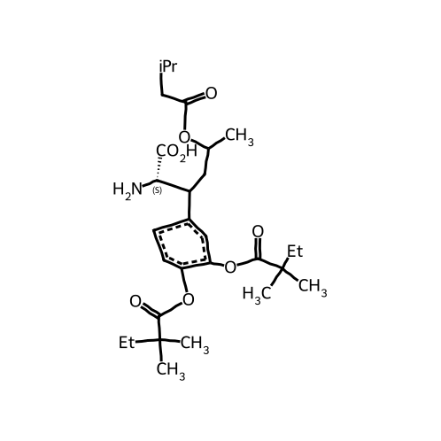 CCC(C)(C)C(=O)Oc1ccc(C(CC(C)OC(=O)CC(C)C)[C@H](N)C(=O)O)cc1OC(=O)C(C)(C)CC